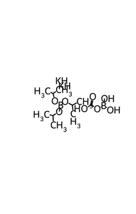 CC(C)OB(OC(C)C)OC(C)C.O=C(O)OB(O)O.[KH].[KH]